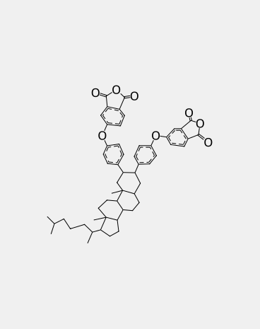 CC(C)CCCC(C)C1CCC2C3CCC4CC(c5ccc(Oc6ccc7c(c6)C(=O)OC7=O)cc5)C(c5ccc(Oc6ccc7c(c6)C(=O)OC7=O)cc5)CC4(C)C3CCC12C